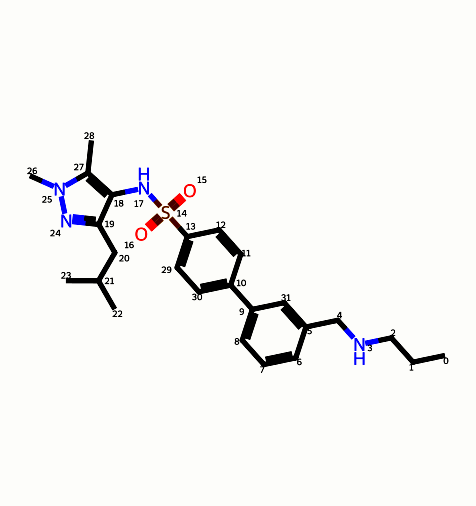 CCCNCc1cccc(-c2ccc(S(=O)(=O)Nc3c(CC(C)C)nn(C)c3C)cc2)c1